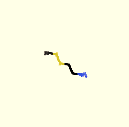 CCSSCCN